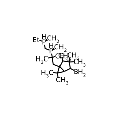 BC1C2C(C)(C)C2(CC(C)(C)[PH](=C)C[PH](=C)CC)C(C)C1(C)C